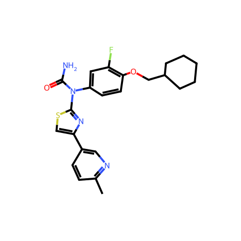 Cc1ccc(-c2csc(N(C(N)=O)c3ccc(OCC4CCCCC4)c(F)c3)n2)cn1